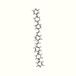 C(=Cc1ccc(N2CCN(c3ccccc3)CC2)cc1)c1ccc(C=Cc2ccc(N3CCN(c4ccccc4)CC3)cc2)cc1